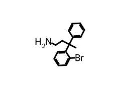 CC(CCN)(c1ccccc1)c1ccccc1Br